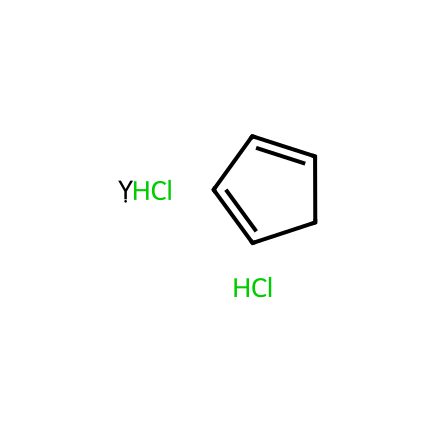 C1=CCC=C1.Cl.Cl.[Y]